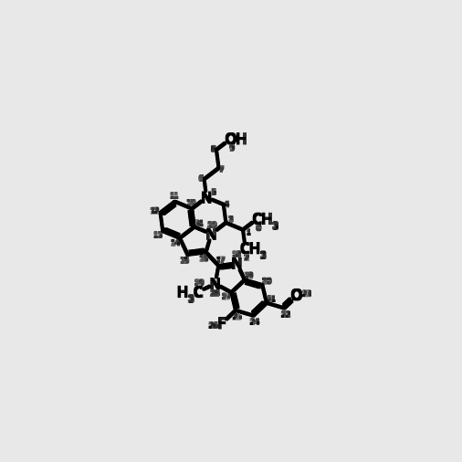 CC(C)C1CN(CCCO)c2cccc3cc(-c4nc5cc(C=O)cc(F)c5n4C)n1c23